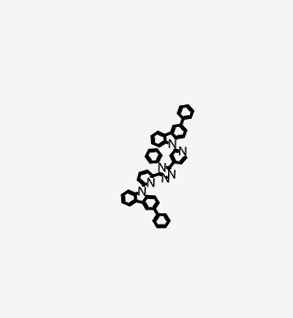 c1ccc(-c2ccc3c(c2)c2ccccc2n3-c2cc(-c3nnc(-c4cccc(-n5c6ccccc6c6cc(-c7ccccc7)ccc65)n4)n3-c3ccccc3)ccn2)cc1